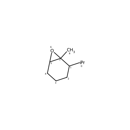 CC(C)C1CCCC2OC21C